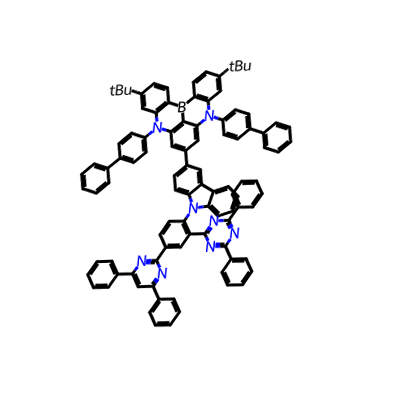 CC(C)(C)c1ccc2c(c1)N(c1ccc(-c3ccccc3)cc1)c1cc(-c3ccc4c(c3)c3ccccc3n4-c3ccc(-c4nc(-c5ccccc5)cc(-c5ccccc5)n4)cc3-c3nc(-c4ccccc4)nc(-c4ccccc4)n3)cc3c1B2c1ccc(C(C)(C)C)cc1N3c1ccc(-c2ccccc2)cc1